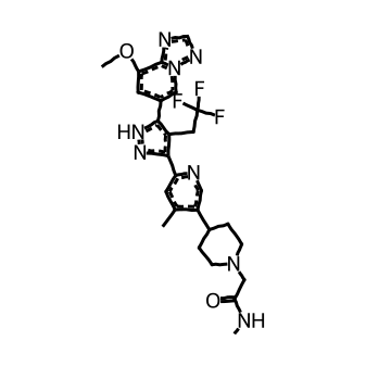 CNC(=O)CN1CCC(c2cnc(-c3n[nH]c(-c4cc(OC)c5ncnn5c4)c3CC(F)(F)F)cc2C)CC1